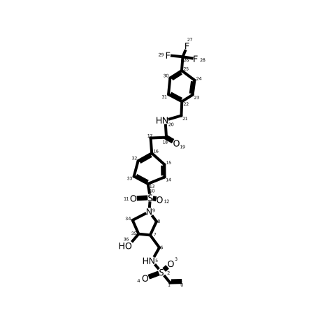 C=CS(=O)(=O)NCC1CN(S(=O)(=O)c2ccc(CC(=O)NCc3ccc(C(F)(F)F)cc3)cc2)CC1O